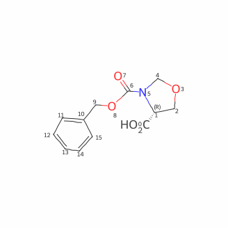 O=C(O)[C@H]1COCN1C(=O)OCc1ccccc1